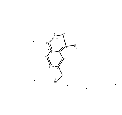 BrCc1ccc2c(c1)=C(Br)CNC=2